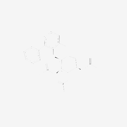 CC(=O)O[C@@H]1[C@@H](OC(C)=O)[C@@H](Oc2c(C)ccnc2-c2cccnc2)SC[C@H]1OC(C)=O